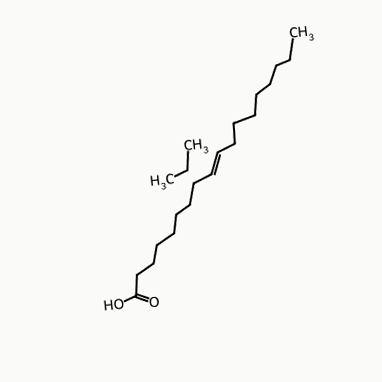 CCC.CCCCCCCCC=CCCCCCCCC(=O)O